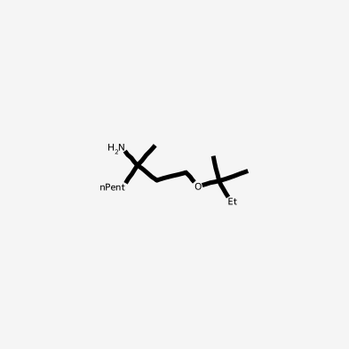 CCCCCC(C)(N)CCOC(C)(C)CC